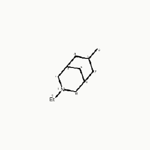 CCN1CC2CC(C)CC(C2)C1